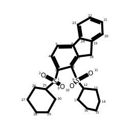 O=S(=O)(c1ccc2c(c1S(=O)(=O)C1CCCCC1)Cc1ccccc1-2)C1CCCCC1